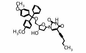 CCCC#Cc1cn([C@H]2C[C@H](O)[C@@H](COC(c3ccccc3)(c3ccc(OC)cc3)c3ccc(OC)cc3)O2)c(=O)[nH]c1=O